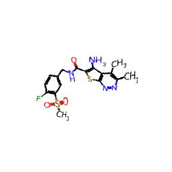 Cc1nnc2sc(C(=O)NCc3ccc(F)c(S(C)(=O)=O)c3)c(N)c2c1C